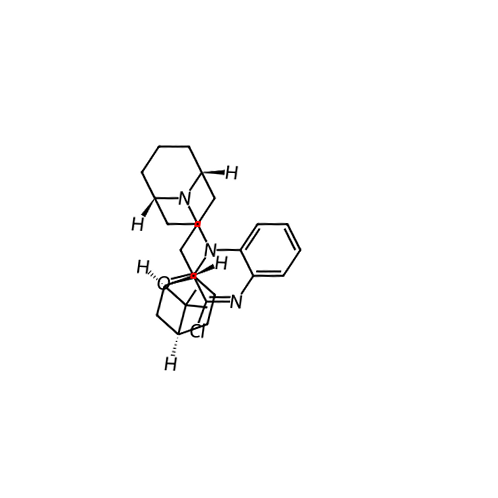 CC1(C)[C@H]2CC[C@@H](CCN3[C@@H]4CCC[C@H]3CC(n3c(=O)c(Cl)nc5ccccc53)C4)[C@@H]1C2